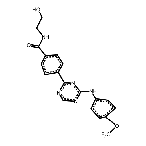 O=C(NCCO)c1ccc(-c2ncnc(Nc3ccc(OC(F)(F)F)cc3)n2)cc1